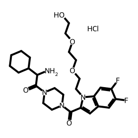 Cl.NC(C(=O)N1CCN(C(=O)c2cc3cc(F)c(F)cc3n2CCOCCOCCO)CC1)C1CCCCC1